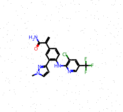 C=C(C(N)=O)c1ccc(Nc2ncc(C(F)(F)F)cc2Cl)c(-c2ccn(C)n2)c1